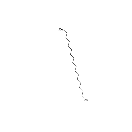 CCCCCCCCCCCCCCCCCCCCCCCCCC[As]